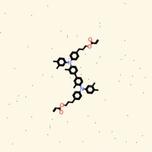 C=CC(=O)OCCCc1ccc(N(c2ccc(C)c(C)c2)c2ccc(-c3ccc(N(c4ccc(CCCOC(=O)C=C)cc4)c4ccc(C)c(C)c4)c(C)c3)cc2C)cc1